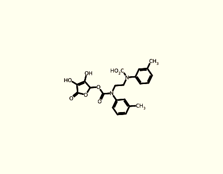 Cc1cccc(N(CCN(C(=O)OC2OC(=O)C(O)=C2O)c2cccc(C)c2)C(=O)O)c1